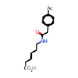 CC(=O)c1ccc(CC(=O)NCCCCCC(=O)O)cc1